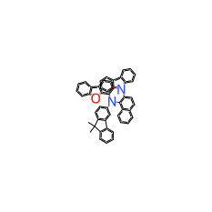 CC1(C)c2ccccc2-c2cc(N(c3c(-n4c5ccccc5c5ccccc54)ccc4ccccc34)c3cccc4c3oc3ccccc34)ccc21